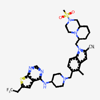 Cc1c(CN2CCC(Nc3ncnc4sc(CC(F)(F)F)cc34)CC2)ccc2c1cc(C#N)n2CC1CCCC2CN(S(C)(=O)=O)CCN21